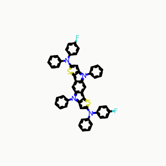 Fc1ccc(N(c2ccccc2)c2cc3c(s2)c2cc4c(cc2n3-c2ccccc2)c2sc(N(c3ccccc3)c3ccc(F)cc3)cc2n4-c2ccccc2)cc1